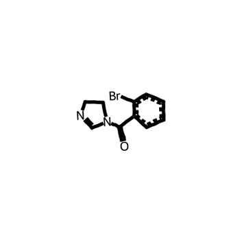 O=C(c1ccccc1Br)N1C=NCC1